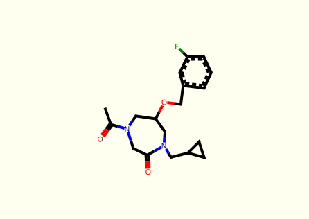 CC(=O)N1CC(=O)N(CC2CC2)CC(OCc2cccc(F)c2)C1